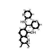 Cc1cc2ccc(C(Nc3ccccn3)c3cccnc3)c(O)c2nc1C